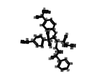 COC(=O)c1ccc(CN([C@H](CNC(=O)c2ccccc2)C(=O)NO)S(=O)(=O)c2ccc(OC)cc2)cc1